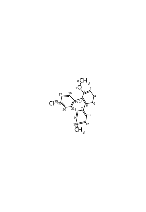 COC1=CC[CH]C(c2ccc(C)cc2)=C1c1ccc(Cl)cc1